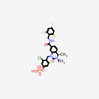 C[C@H]1c2ccc(C(=O)NCc3c(F)cc(F)cc3F)cc2N(Cc2c(F)cc(OP(=O)(O)O)cc2Cl)C(=O)N1C